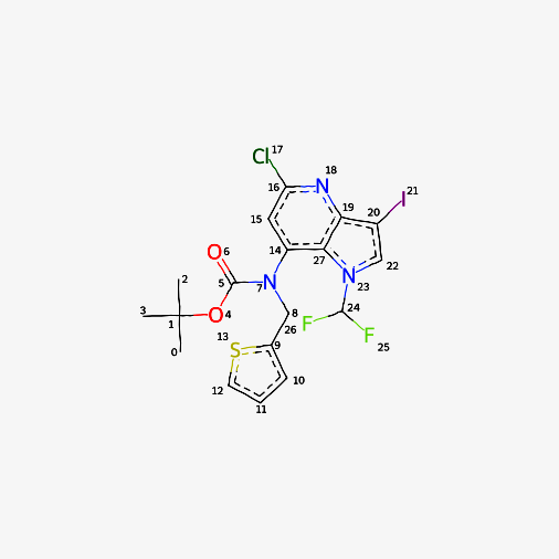 CC(C)(C)OC(=O)N(Cc1cccs1)c1cc(Cl)nc2c(I)cn(C(F)F)c12